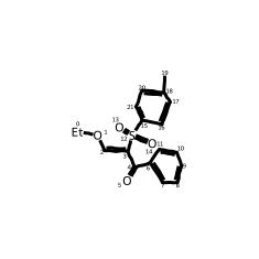 CCOC=C(C(=O)c1ccccc1)S(=O)(=O)c1ccc(C)cc1